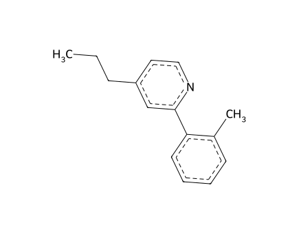 CCCc1ccnc(-c2ccccc2C)c1